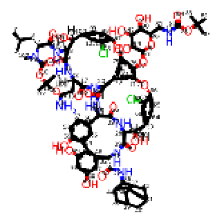 CC(C)C[C@H](C(=O)N[C@H]1C(=O)N[C@@H](CC(N)=O)C(=O)N[C@H]2C(=O)N[C@H]3C(=O)N[C@H](C(=O)N[C@H](C(=O)NC4C5CC6CC(C5)CC4C6)c4cc(O)cc(O)c4-c4cc3ccc4O)[C@H](O)c3ccc(c(Cl)c3)Oc3cc2cc(c3OC2OC(CNC(=O)OC(C)(C)C)C(O)C(O)C2O)Oc2ccc(cc2Cl)[C@H]1O)N(C)C(=O)OC(C)(C)C